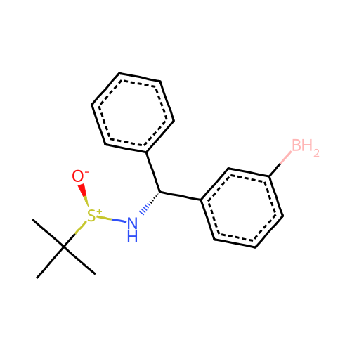 Bc1cccc([C@H](N[S@+]([O-])C(C)(C)C)c2ccccc2)c1